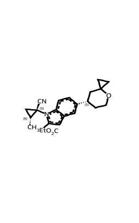 CCOC(=O)c1cc2cc([C@H]3CCOC4(CC4)C3)ccc2n1[C@@]1(C#N)C[C@H]1C